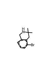 CC1(C)Cc2c(Br)cccc2CN1